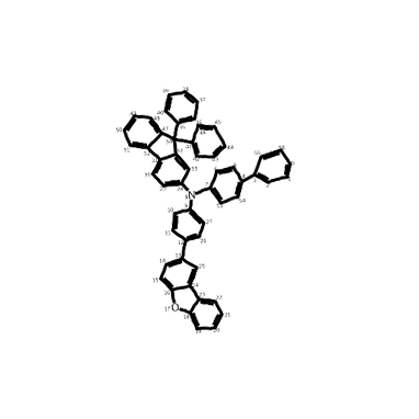 c1ccc(-c2ccc(N(c3ccc(-c4ccc5oc6ccccc6c5c4)cc3)c3ccc4c(c3)C(c3ccccc3)(c3ccccc3)c3ccccc3-4)cc2)cc1